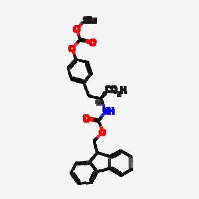 CC(C)(C)OC(=O)Oc1ccc(C[C@H](NC(=O)OCC2c3ccccc3-c3ccccc32)C(=O)O)cc1